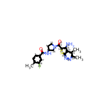 Cc1ccc(C(=O)NC2CCN(C(=O)c3sc4nnc(C)c(C)c4c3N)C2)cc1F